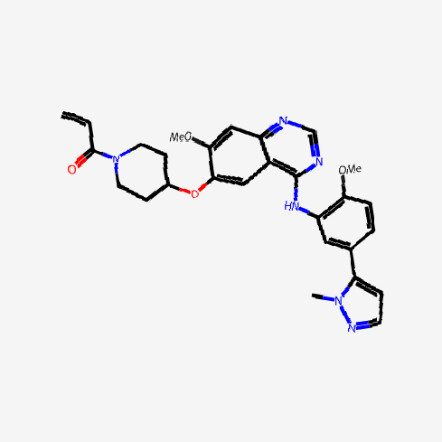 C=CC(=O)N1CCC(Oc2cc3c(Nc4cc(-c5ccnn5C)ccc4OC)ncnc3cc2OC)CC1